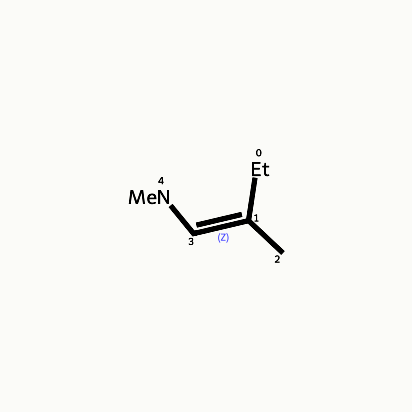 CC/C(C)=C\NC